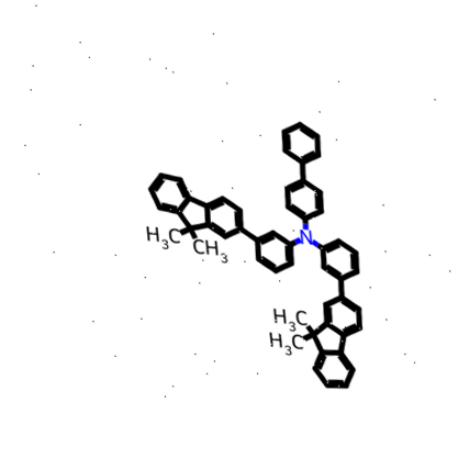 CC1(C)c2ccccc2-c2ccc(-c3cccc(N(c4ccc(-c5ccccc5)cc4)c4cccc(-c5ccc6c(c5)C(C)(C)c5ccccc5-6)c4)c3)cc21